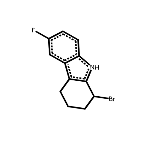 Fc1ccc2[nH]c3c(c2c1)CCCC3Br